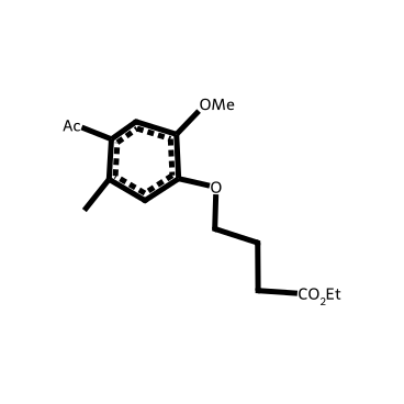 CCOC(=O)CCCOc1cc(C)c(C(C)=O)cc1OC